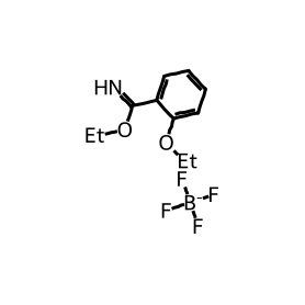 CCOC(=N)c1ccccc1OCC.F[B-](F)(F)F